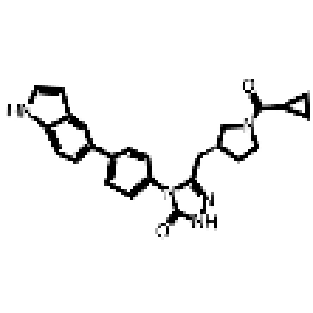 O=C(C1CC1)N1CC[C@@H](Cc2n[nH]c(=O)n2-c2ccc(-c3ccc4[nH]ccc4c3)cc2)C1